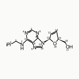 CC(C)CNc1ncnc2c1ncn2[C@H]1C=C[C@@H](CO)O1